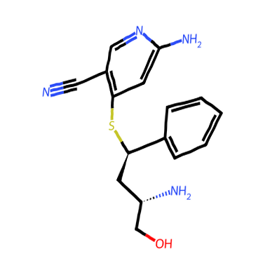 N#Cc1cnc(N)cc1S[C@H](C[C@H](N)CO)c1ccccc1